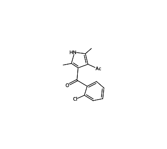 CC(=O)c1c(C)[nH]c(C)c1C(=O)c1ccccc1Cl